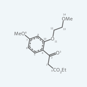 CCOC(=O)CC(=O)c1ccc(OC)cc1OCCOC